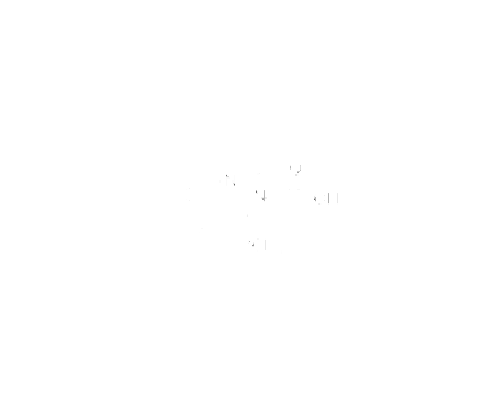 Cc1ccc(C)c2c1ncn2CC(=O)O